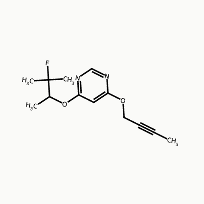 CC#CCOc1cc(OC(C)C(C)(C)F)ncn1